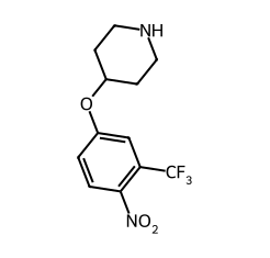 O=[N+]([O-])c1ccc(OC2CCNCC2)cc1C(F)(F)F